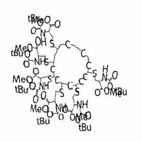 COC(=O)C(CSC1CCCCCCCC(SCC(NC(=O)OC(C)(C)C)C(=O)OC)CC(SCC(NC(=O)OC(C)(C)C)C(=O)OC)CC(SCC(NC(=O)OC(C)(C)C)C(=O)OC)CC(SCC(NC(=O)OC(C)(C)C)C(=O)OC)CC(SCC(NC(=O)OC(C)(C)C)C(=O)OC)CC1)NC(=O)OC(C)(C)C